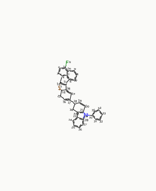 Fc1ccc2c3c(cccc13)C1=C2SC2CC=C(C3C=Cc4c(c5ccccc5n4-c4ccccc4)C3)C=C12